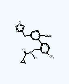 CCN(Cc1cc(C(F)(F)F)ccc1-c1cc(Cc2nn[nH]n2)ccc1OC)C(=O)C1CC1